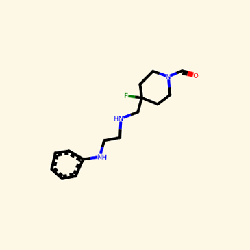 O=CN1CCC(F)(CNCCNc2ccccc2)CC1